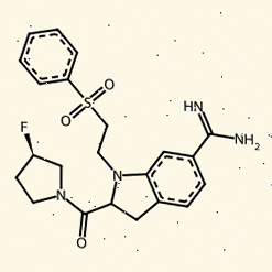 N=C(N)c1ccc2c(c1)N(CCS(=O)(=O)c1ccccc1)C(C(=O)N1CC[C@@H](F)C1)C2